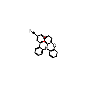 N#Cc1cncc(-c2ccccc2N2C3=C(CCC=C3)Oc3ccccc32)c1